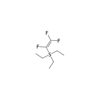 CCS(CC)(CC)C(F)=C(F)F